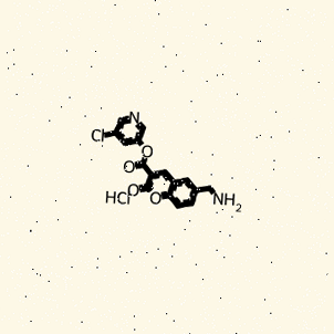 Cl.NCc1ccc2oc(=O)c(C(=O)Oc3cncc(Cl)c3)cc2c1